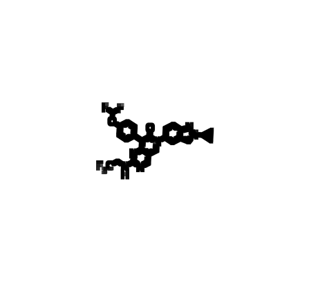 O=c1c(-c2ccc(OC(F)F)cc2)c2nc(NCC(F)(F)F)ncc2cn1-c1ccc2nn(C3CC3)cc2c1